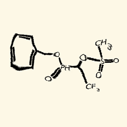 CS(=O)(=O)OC([PH](=O)Oc1ccccc1)C(F)(F)F